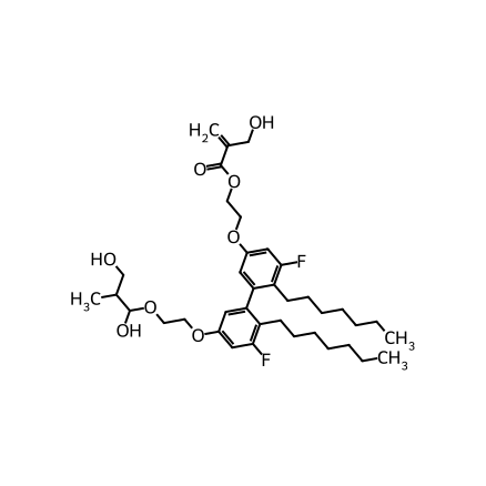 C=C(CO)C(=O)OCCOc1cc(F)c(CCCCCCC)c(-c2cc(OCCOC(O)C(C)CO)cc(F)c2CCCCCCC)c1